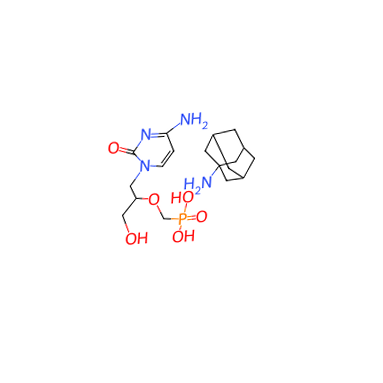 NC12CC3CC(CC(C3)C1)C2.Nc1ccn(CC(CO)OCP(=O)(O)O)c(=O)n1